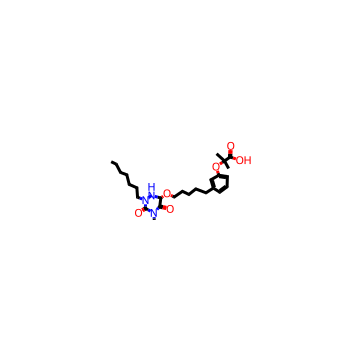 CCCCCCCN1NC(OCCCCCc2cccc(OC(C)(C)C(=O)O)c2)C(=O)N(C)C1=O